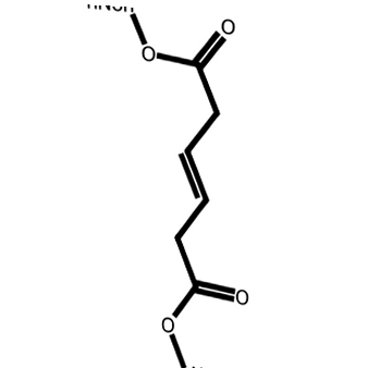 CCCCCCCCCOC(=O)CC=CCC(=O)OCCCCCCCCC